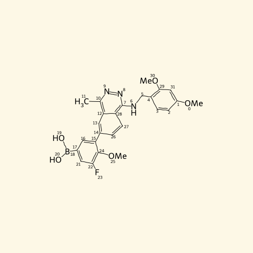 COc1ccc(CNc2nnc(C)c3cc(-c4cc(B(O)O)cc(F)c4OC)ccc23)c(OC)c1